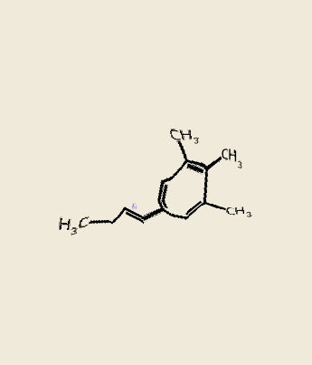 CC/C=C/c1cc(C)c(C)c(C)c1